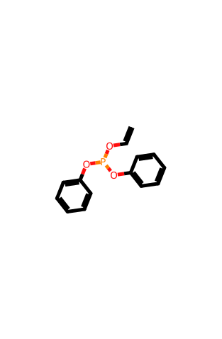 C=COP(Oc1ccccc1)Oc1ccccc1